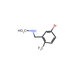 O=C(O)NCc1cc(Br)ccc1C(F)(F)F